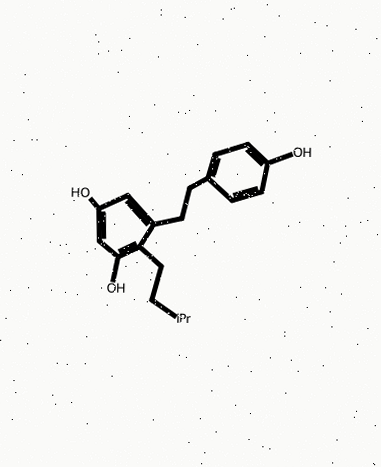 CC(C)CCc1c(O)cc(O)cc1CCc1ccc(O)cc1